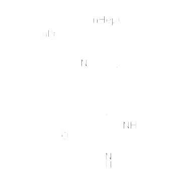 CCCCCCCC(CCC)N1CCC2(CC1)NCNC2=O